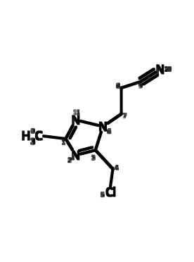 Cc1nc(CCl)n(CCC#N)n1